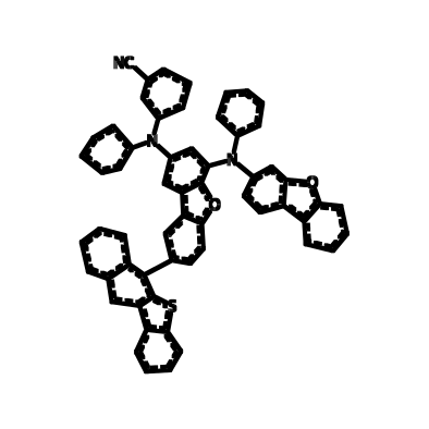 N#Cc1cccc(N(c2ccccc2)c2cc(N(c3ccccc3)c3ccc4c(c3)oc3ccccc34)c3oc4ccc(-c5c6ccccc6cc6c5sc5ccccc56)cc4c3c2)c1